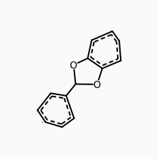 [c]1ccc(C2Oc3ccccc3O2)cc1